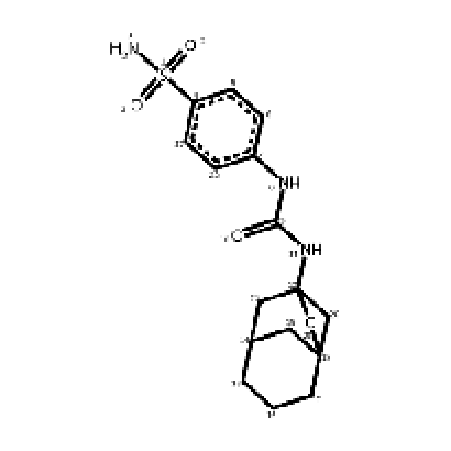 NS(=O)(=O)c1ccc(NC(=O)NC23CC4CCCC(C4)(C2)C3)cc1